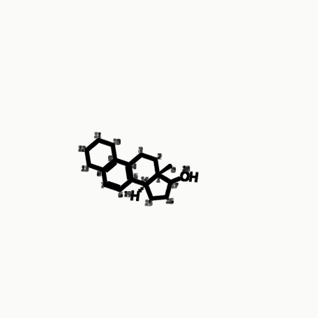 C[C@]12CCc3c(ccc4c3CCCC4)[C@@H]1CCC2O